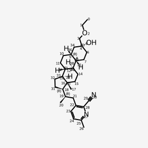 CCOC[C@@]1(O)CC[C@H]2[C@H](CC[C@@H]3[C@@H]2CC[C@]2(C)[C@@H]([C@H](C)Cc4ccc(C)nc4C#N)CC[C@@H]32)C1